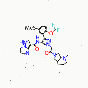 CSc1ccc(OC(F)F)c(-c2nn(CC(=O)N3CC4CCCN(C)C4C3)cc2NC(=O)C2=C3N=CC=CN3NC2)c1